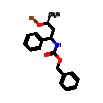 CCOC(=O)[C@H](CC(NC(=O)OCc1ccccc1)c1ccccc1)OS